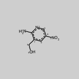 Nc1n[c]c([N+](=O)[O-])cc1CO